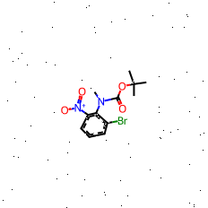 CN(C(=O)OC(C)(C)C)c1c(Br)cccc1[N+](=O)[O-]